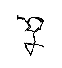 CC1(c2cccc(I)n2)CC1